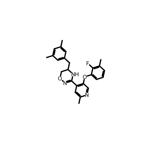 Cc1cc(C)cc(CC2CON=C(c3cc(C)ncc3Oc3cccc(C)c3F)N2)c1